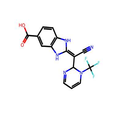 N#CC(=C1Nc2ccc(C(=O)O)cc2N1)C1N=CC=CN1C(F)(F)F